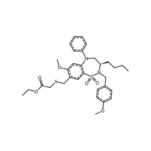 CCCC[C@@H]1CN(c2ccccc2)c2cc(OC)c(CSCC(=O)OCC)cc2S(=O)(=O)N1Cc1ccc(OC)cc1